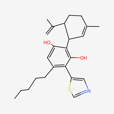 C=C(C)C1CCC(C)=CC1c1c(O)cc(CCCCC)c(-c2cncs2)c1O